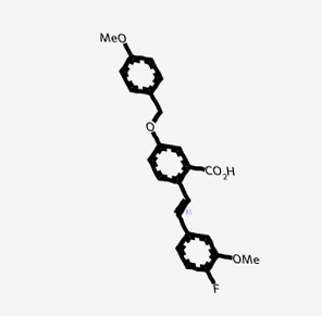 COc1ccc(COc2ccc(/C=C/c3ccc(F)c(OC)c3)c(C(=O)O)c2)cc1